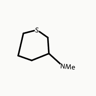 CNC1CCCSC1